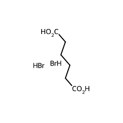 Br.Br.O=C(O)CCCCC(=O)O